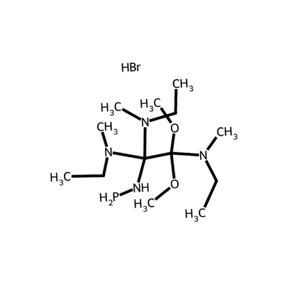 Br.CCN(C)C(OC)(OC)C(NP)(N(C)CC)N(C)CC